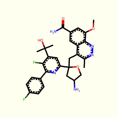 COc1cc(C(N)=O)cc2c(CC3(c4cc(C(C)(C)O)c(F)c(-c5ccc(F)cc5)n4)CC(N)CO3)c(C)nnc12